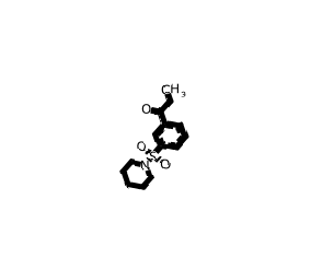 CCC(=O)c1cccc(S(=O)(=O)N2CCCCC2)c1